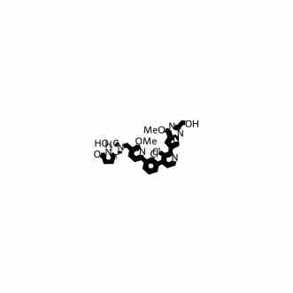 COc1nc(-c2cccc(-c3ccnc(-c4cc5c(OC)nc(CO)nn5c4)c3Cl)c2Cl)ccc1CN(C[C@@H]1CCC(=O)N1)C(=O)O